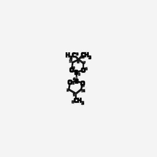 CC1COB(B2OCC(C)(C)CO2)OC1